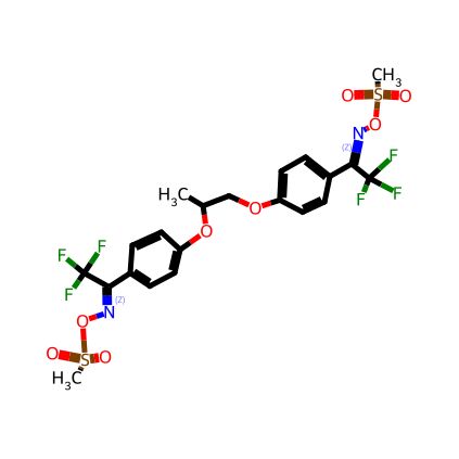 CC(COc1ccc(/C(=N/OS(C)(=O)=O)C(F)(F)F)cc1)Oc1ccc(/C(=N/OS(C)(=O)=O)C(F)(F)F)cc1